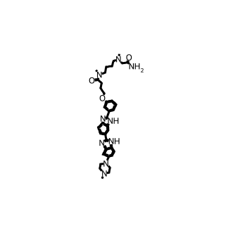 CN1CCN(c2ccc3[nH]c(-c4ccc5nc(-c6cccc(OCCCC(=O)N(C)CCCCN(C)CC(N)=O)c6)[nH]c5c4)nc3c2)CC1